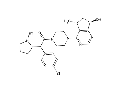 CC(C)N1CCCC1C(C(=O)N1CCN(c2ncnc3c2[C@H](C)C[C@H]3O)CC1)c1ccc(Cl)cc1